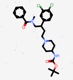 CN(CC(CCN1CCC(NC(=O)OC(C)(C)C)CC1)c1ccc(Cl)c(Cl)c1)C(=O)c1ccccc1